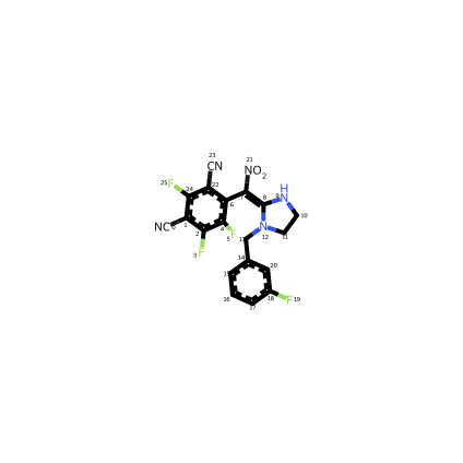 N#Cc1c(F)c(F)c(/C(=C2/NCCN2Cc2cccc(F)c2)[N+](=O)[O-])c(C#N)c1F